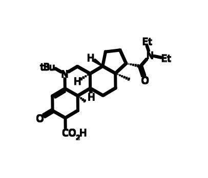 CCN(CC)C(=O)[C@H]1CC[C@H]2[C@@H]3CN(C(C)(C)C)C4=CC(=O)C(C(=O)O)C[C@]4(C)[C@H]3CC[C@]12C